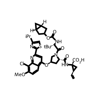 C=C[C@@H]1C[C@]1(NC(=O)[C@@H]1C[C@@H](Oc2cc(-c3nc(C(C)C)cs3)nc3c(Cl)c(OC)ccc23)CN1C(=O)[C@@H](NC(=O)OC1C[C@@H]2C[C@@H]2C1)C(C)(C)C)C(=O)O